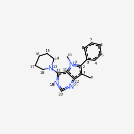 Cc1c(-c2ccccc2)n(C)c2c(N3CCCCC3)ncnc12